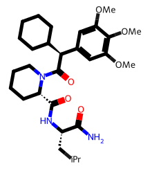 COc1cc([C@@H](C(=O)N2CCCC[C@H]2C(=O)N[C@@H](CC(C)C)C(N)=O)C2CCCCC2)cc(OC)c1OC